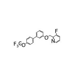 Fc1cccnc1COc1cccc(-c2ccc(OC(F)(F)F)cc2)c1